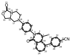 Cc1cn(-c2ccc(N3CCN4C(=O)OCC4C3)cc2)c(=O)c2cccc(-c3ccc(C#N)cc3)c12